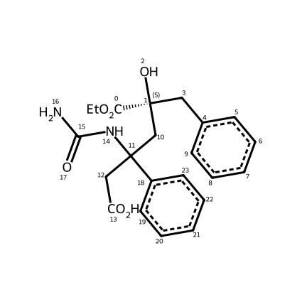 CCOC(=O)[C@](O)(Cc1ccccc1)CC(CC(=O)O)(NC(N)=O)c1ccccc1